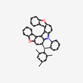 Cc1cc(C)c(B2c3ccccc3-n3c4ccc5oc6ccccc6c5c4c4c5c(cc2c43)oc2ccccc25)c(C)c1